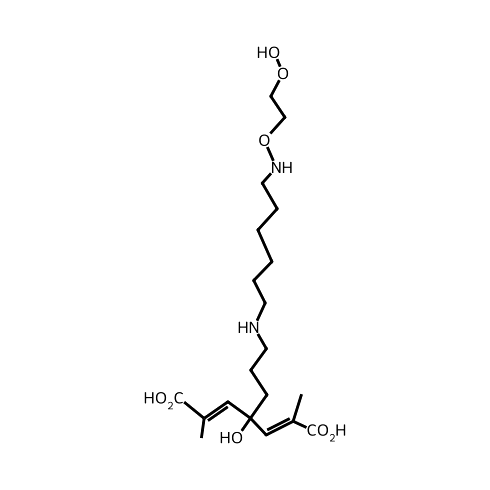 CC(=CC(O)(C=C(C)C(=O)O)CCCNCCCCCCNOCCOO)C(=O)O